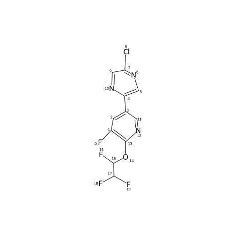 Fc1cc(-c2cnc(Cl)cn2)cnc1OC(F)C(F)F